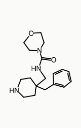 O=C(NCC1(Cc2ccccc2)CCNCC1)N1CCOCC1